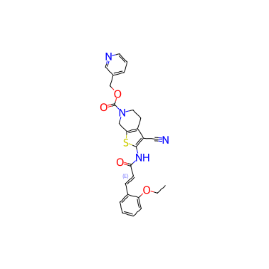 CCOc1ccccc1/C=C/C(=O)Nc1sc2c(c1C#N)CCN(C(=O)OCc1cccnc1)C2